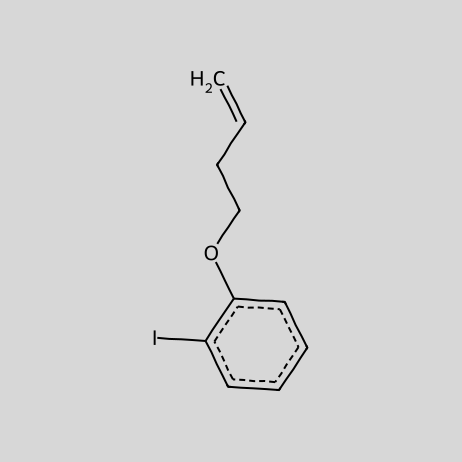 C=CCCOc1ccccc1I